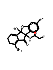 CC(C)c1ccc2c(c1)OC1(O)C3=CCCC(N)=C3C(=O)C21NC(=O)CF